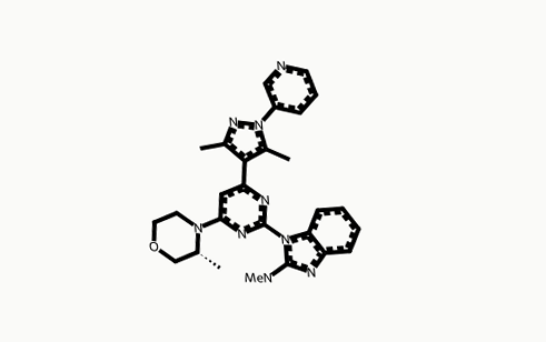 CNc1nc2ccccc2n1-c1nc(-c2c(C)nn(-c3cccnc3)c2C)cc(N2CCOC[C@H]2C)n1